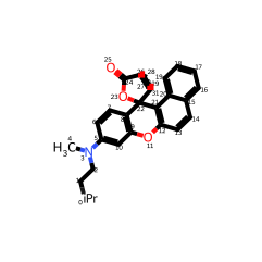 CC(C)CCN(C)c1ccc2c(c1)Oc1ccc3ccccc3c1C21OC(=O)c2ccccc21